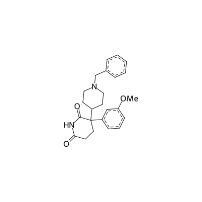 COc1cccc(C2(C3CCN(Cc4ccccc4)CC3)CCC(=O)NC2=O)c1